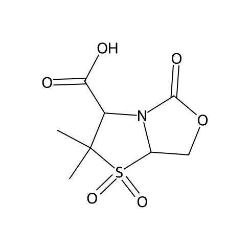 CC1(C)C(C(=O)O)N2C(=O)OCC2S1(=O)=O